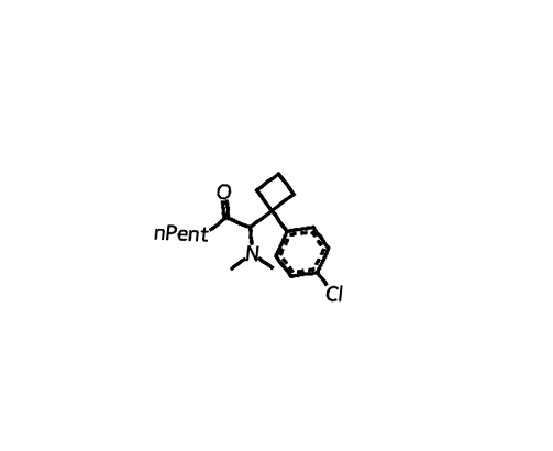 CCCCCC(=O)C(N(C)C)C1(c2ccc(Cl)cc2)CCC1